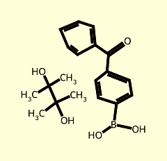 CC(C)(O)C(C)(C)O.O=C(c1ccccc1)c1ccc(B(O)O)cc1